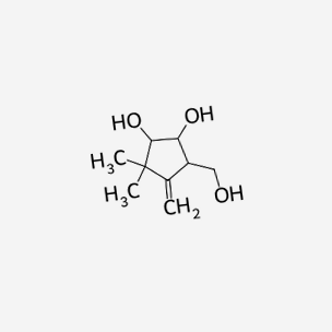 C=C1C(CO)C(O)C(O)C1(C)C